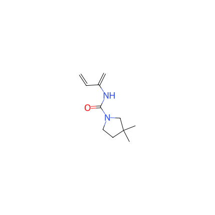 C=CC(=C)NC(=O)N1CCC(C)(C)C1